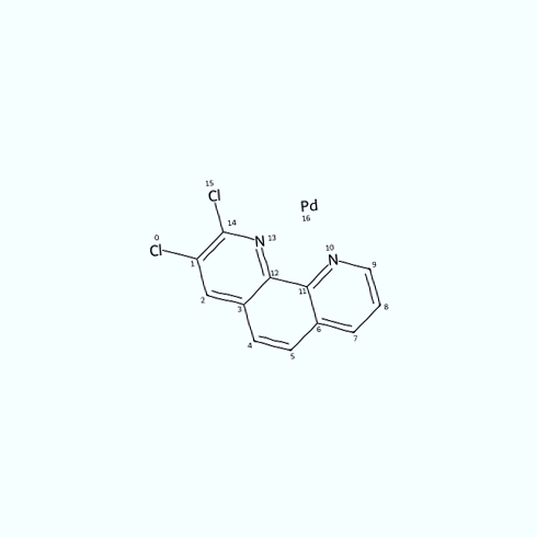 Clc1cc2ccc3cccnc3c2nc1Cl.[Pd]